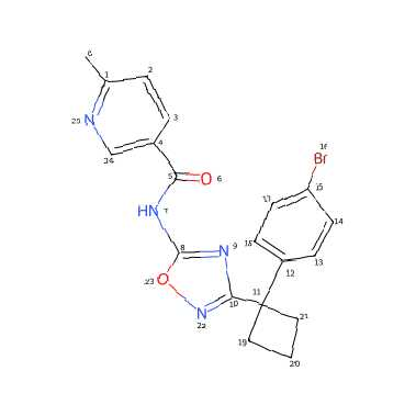 Cc1ccc(C(=O)Nc2nc(C3(c4ccc(Br)cc4)CCC3)no2)cn1